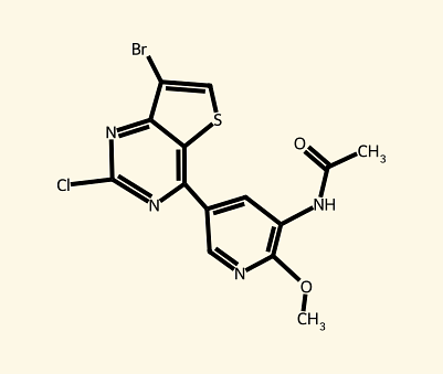 COc1ncc(-c2nc(Cl)nc3c(Br)csc23)cc1NC(C)=O